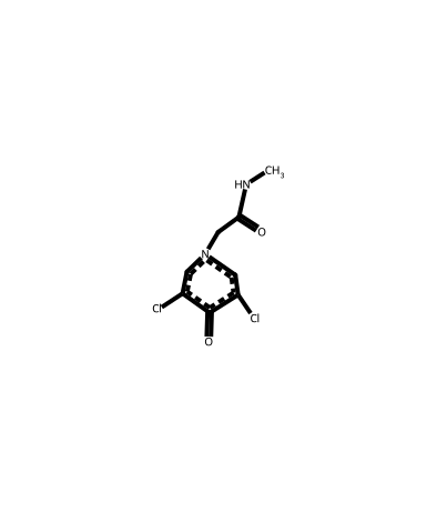 CNC(=O)Cn1cc(Cl)c(=O)c(Cl)c1